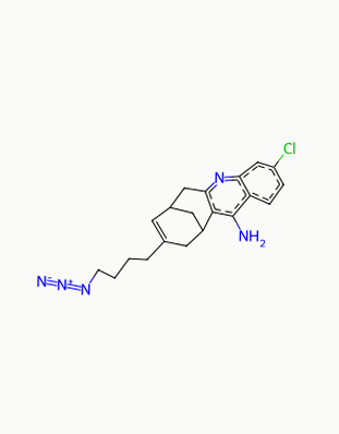 [N-]=[N+]=NCCCCC1=CC2Cc3nc4cc(Cl)ccc4c(N)c3C(C1)C2